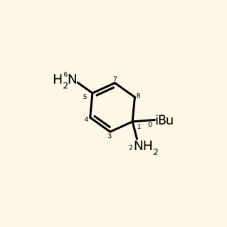 CCC(C)C1(N)C=CC(N)=CC1